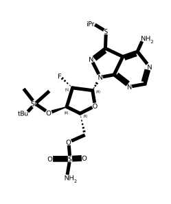 CC(C)Sc1nn([C@@H]2O[C@H](COS(N)(=O)=O)[C@@H](O[Si](C)(C)C(C)(C)C)[C@@H]2F)c2ncnc(N)c12